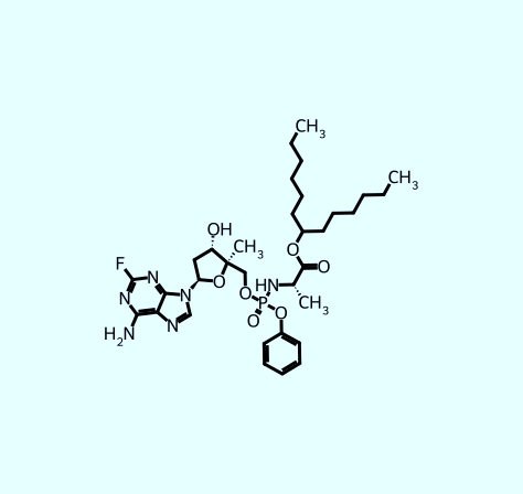 CCCCCCC(CCCCCC)OC(=O)[C@H](C)NP(=O)(OC[C@@]1(C)O[C@@H](n2cnc3c(N)nc(F)nc32)C[C@@H]1O)Oc1ccccc1